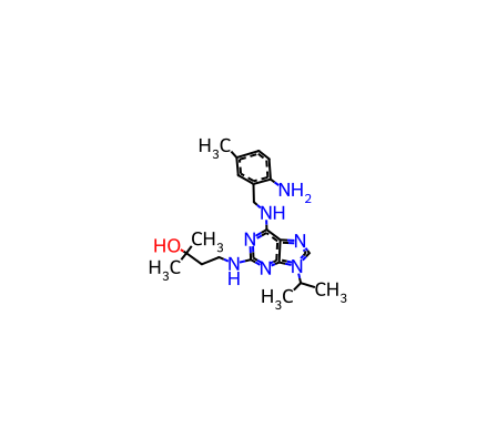 Cc1ccc(N)c(CNc2nc(NCCC(C)(C)O)nc3c2ncn3C(C)C)c1